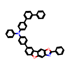 c1ccc(-c2cccc(-c3ccc(N(c4ccccc4)c4ccc(-c5ccc6oc7cc8nc(-c9ccccc9)oc8cc7c6c5)cc4)cc3)c2)cc1